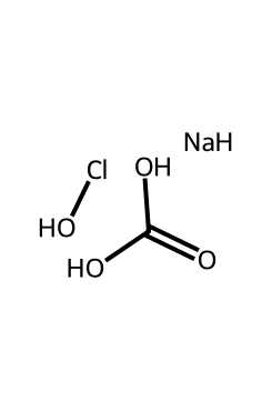 O=C(O)O.OCl.[NaH]